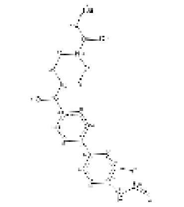 CC(C)(C)OC(=O)N1CCN(C(=O)c2ccc(-c3ccc4c(c3)CC(=O)N4)cc2)CC1